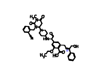 CCOc1cc(C(C=O)NC2CCN(C3CC(=O)N(C)C(=O)N3Cc3ccccc3C#N)CC2)cc(C/C=C(\CO)c2ccccc2)c1C(=O)O